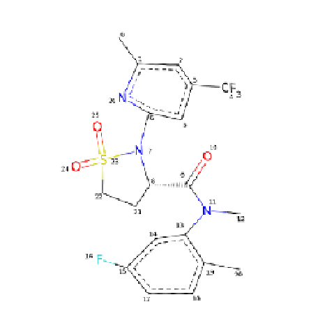 Cc1cc(C(F)(F)F)cc(N2[C@H](C(=O)N(C)c3cc(F)ccc3C)CCS2(=O)=O)n1